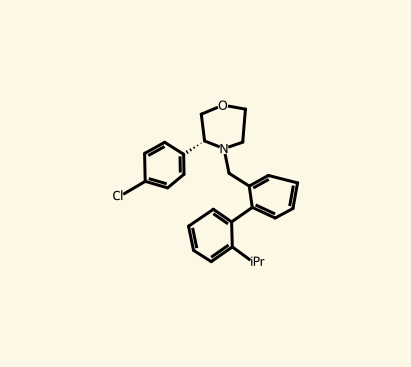 CC(C)c1ccccc1-c1ccccc1CN1CCOC[C@H]1c1ccc(Cl)cc1